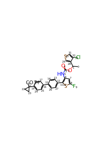 CC(OC(=O)Nc1cc(F)sc1-c1ccc(-c2ccc(C3(C(=O)O)CC3)cc2)cc1)c1cscc1Cl